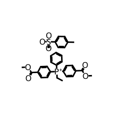 CC[P+](c1ccccc1)(c1ccc(C(=O)OC)cc1)c1ccc(C(=O)OC)cc1.Cc1ccc(S(=O)(=O)[O-])cc1